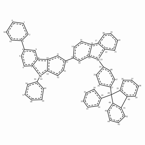 c1ccc(-c2ccc3c(c2)c2cc(-c4ccc5c6ccccc6n(-c6ccc(C7(c8ccccc8)c8ccccc8-c8ccccc87)cc6)c5c4)ccc2n3-c2ccccc2)cc1